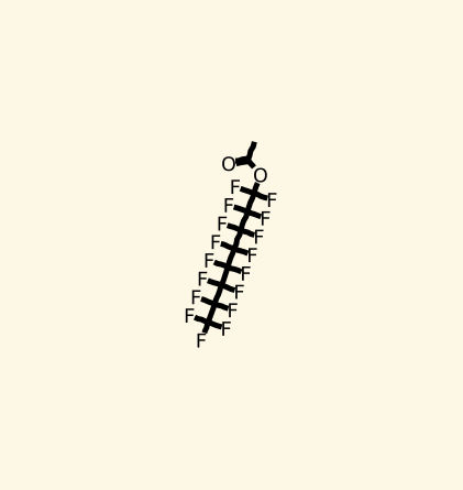 CC(=O)OC(F)(F)C(F)(F)C(F)(F)C(F)(F)C(F)(F)C(F)(F)C(F)(F)C(F)(F)F